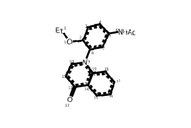 CCOc1ccc(NC(C)=O)cc1-n1ccc(=O)c2ccccc21